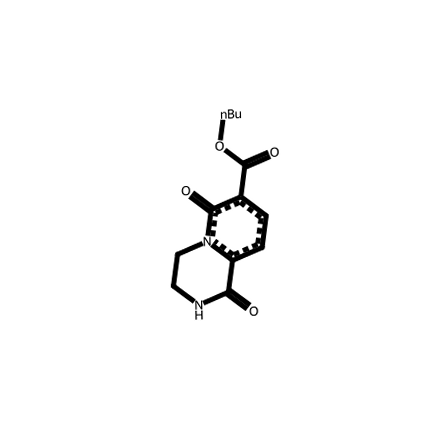 CCCCOC(=O)c1ccc2n(c1=O)CCNC2=O